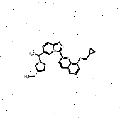 CC(c1ccc2nnc(-c3ccc4cccc(OCC5CC5)c4n3)n2c1)N1CC[C@H](CN)C1